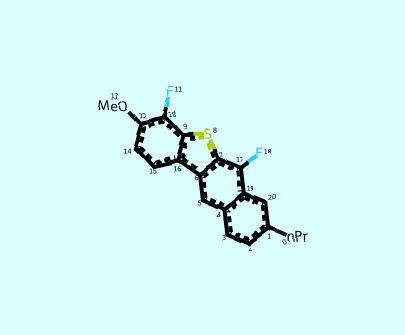 CCCc1ccc2cc3c(sc4c(F)c(OC)ccc43)c(F)c2c1